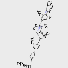 CCCCCc1ccc(-c2ccc(-c3cc(F)c(/C(F)=C(\F)c4cc(F)c(/C(F)=C/C(F)(F)F)c(F)c4)c(F)c3)c(F)c2)cc1